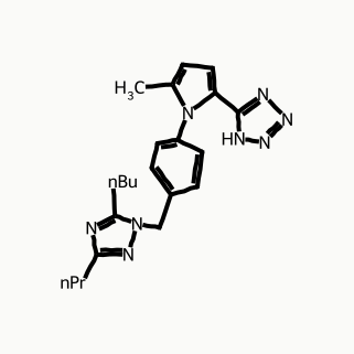 CCCCc1nc(CCC)nn1Cc1ccc(-n2c(C)ccc2-c2nnn[nH]2)cc1